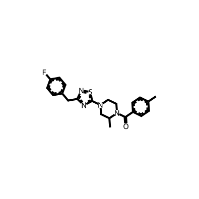 Cc1ccc(C(=O)N2CCN(c3nc(Cc4ccc(F)cc4)ns3)CC2C)cc1